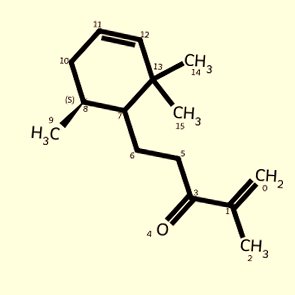 C=C(C)C(=O)CCC1[C@@H](C)CC=CC1(C)C